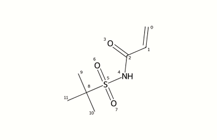 C=CC(=O)NS(=O)(=O)C(C)(C)C